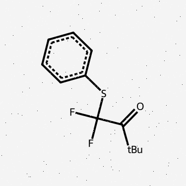 CC(C)(C)C(=O)C(F)(F)Sc1ccccc1